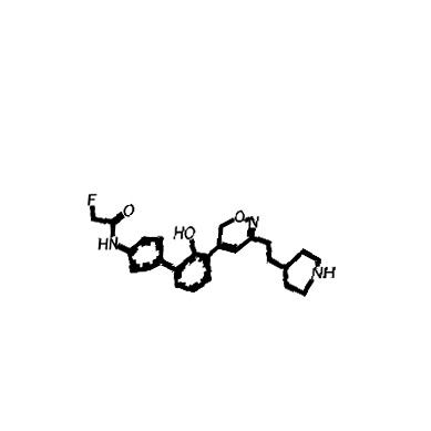 O=C(CF)Nc1ccc(-c2cccc(C3=CC(CCC4CCNCC4)=NOC3)c2O)cc1